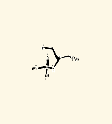 CCOC(=O)[C@H](CC(C)C)NP(=O)(O)C(C)C